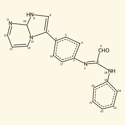 O=C/C(=N\c1ccc(C2=CNC3N=CC=CN23)cc1)Nc1ccccc1